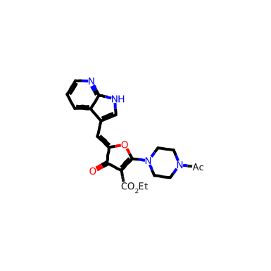 CCOC(=O)C1=C(N2CCN(C(C)=O)CC2)O/C(=C\c2c[nH]c3ncccc23)C1=O